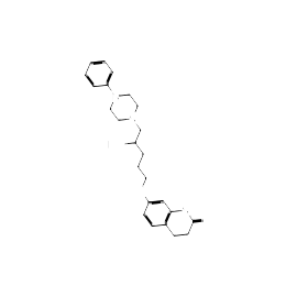 O=C1CCc2ccc(OCCCC(O)CN3CCN(c4ccccc4)CC3)cc2N1